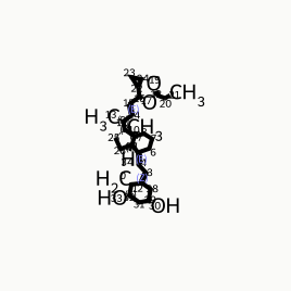 C=C1/C(=C\C=C2/CCC[C@]3(C)[C@@H]([C@H](C)/C=C/C(OC(=O)CC)C4CC4)CC[C@@H]23)CC(O)C[C@@H]1O